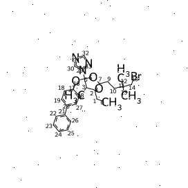 CCCC(C)C(OC(=O)CCC(C)(C)CBr)(Oc1ccc(-c2ccccc2)cc1)n1cncn1